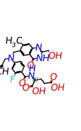 C#CCN(Cc1cc2c(=O)[nH]c(CO)nc2cc1C)c1ccc(C(=O)N[C@@H](CCC(=O)O)C(=O)O)c(F)c1